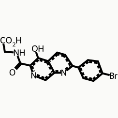 O=C(O)CNC(=O)c1ncc2nc(-c3ccc(Br)cc3)ccc2c1O